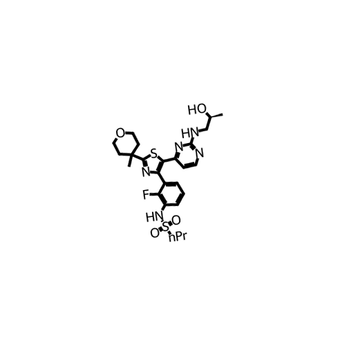 CCCS(=O)(=O)Nc1cccc(-c2nc(C3(C)CCOCC3)sc2-c2ccnc(NC[C@H](C)O)n2)c1F